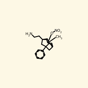 CC1(O[N+](=O)[O-])C=C2CC3(c4ccccc4)CC(CCN)(CC23)C1